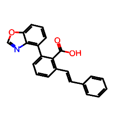 O=C(O)c1c(C=Cc2ccccc2)cccc1-c1cccc2ocnc12